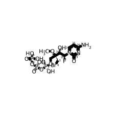 CO[C@](CBr)(COP(=O)(O)OP(=O)(O)OP(=O)(O)O)[C@@H](O)[C@H](F)n1ccc(N)nc1=O